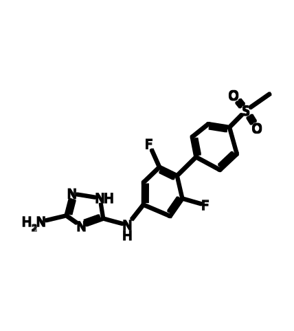 CS(=O)(=O)c1ccc(-c2c(F)cc(Nc3nc(N)n[nH]3)cc2F)cc1